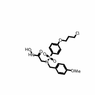 COc1ccc(CN(CC(=O)NO)S(=O)(=O)c2ccc(OCCCCl)cc2)cc1